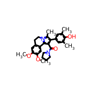 COc1cc2c(cc1OC)-c1c(C(=O)N3CCCC3)c(-c3cc(C)c(O)c(C)c3)c(C)n1CC2